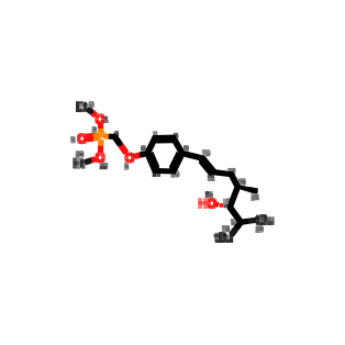 CCOP(=O)(COc1ccc(/C=C/C[C@@H](C)[C@@H](O)C(C(C)(C)C)C(C)(C)C)cc1)OCC